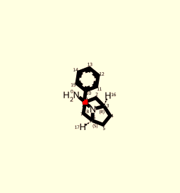 NC1C[C@H]2CC[C@@H](C1)N2Cc1ccccc1